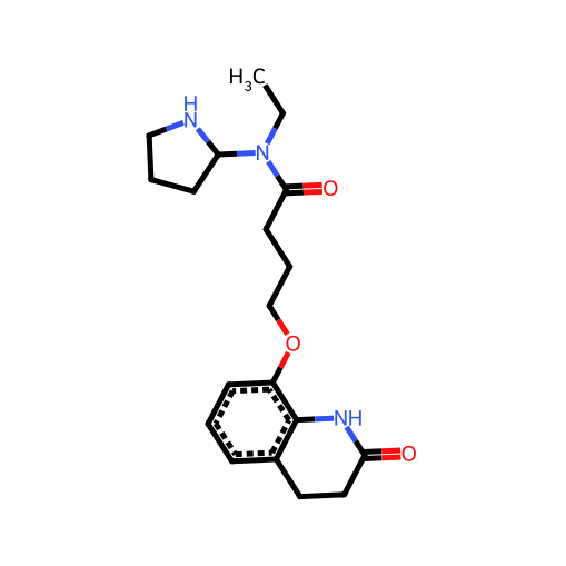 CCN(C(=O)CCCOc1cccc2c1NC(=O)CC2)C1CCCN1